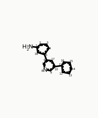 Nc1cccc(-c2cncc(-c3ccccc3)c2)c1